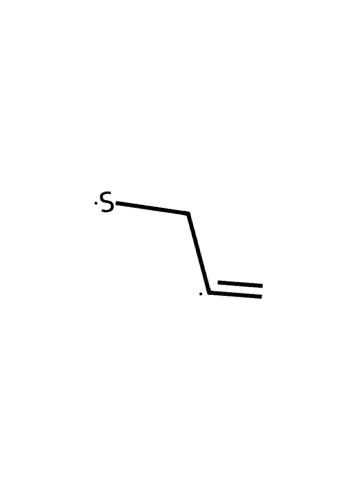 C=[C]C[S]